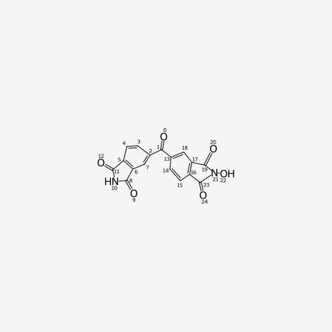 O=C(c1ccc2c(c1)C(=O)NC2=O)c1ccc2c(c1)C(=O)N(O)C2=O